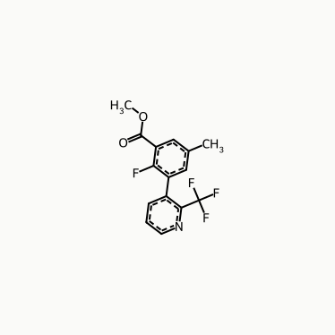 COC(=O)c1cc(C)cc(-c2cccnc2C(F)(F)F)c1F